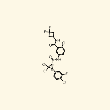 O=C(NC1CC(F)(F)C1)c1cc(NC(=O)[C@@H]2[C@@H](c3ccc(Cl)c(F)c3)C2(Cl)Cl)ccc1Cl